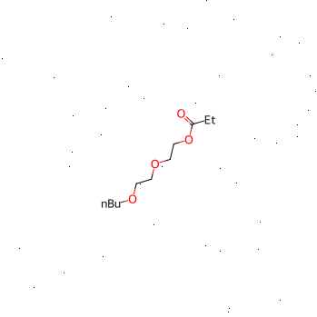 [CH2]CC(=O)OCCOCCOCCCC